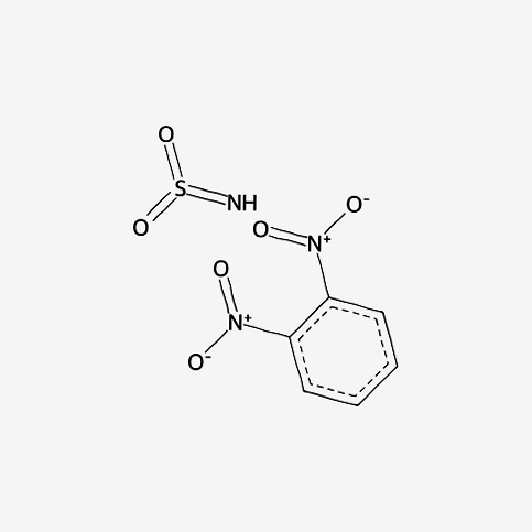 N=S(=O)=O.O=[N+]([O-])c1ccccc1[N+](=O)[O-]